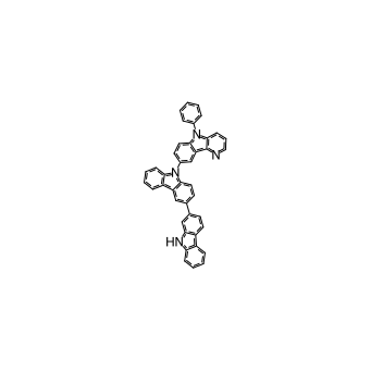 c1ccc(-n2c3ccc(-n4c5ccccc5c5cc(-c6ccc7c(c6)[nH]c6ccccc67)ccc54)cc3c3ncccc32)cc1